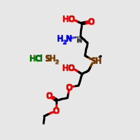 CCOC(=O)COCC(O)C[SH](C)CC[C@H](N)C(=O)O.Cl.S